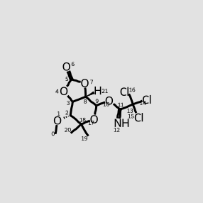 CO[C@@H]1C2OC(=O)O[C@@H]2C(OC(=N)C(Cl)(Cl)Cl)OC1(C)C